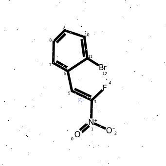 O=[N+]([O-])/C(F)=C/c1ccccc1Br